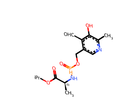 Cc1ncc(CO[PH](=O)N[C@@H](C)C(=O)OC(C)C)c(C=O)c1O